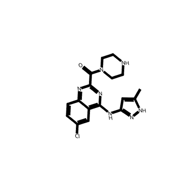 Cc1cc(Nc2nc(C(=O)N3CCNCC3)nc3ccc(Cl)cc23)n[nH]1